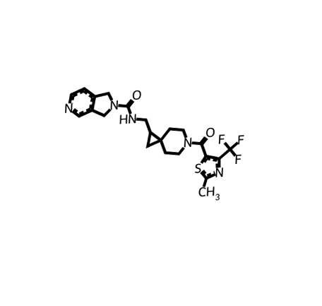 Cc1nc(C(F)(F)F)c(C(=O)N2CCC3(CC2)CC3CNC(=O)N2Cc3ccncc3C2)s1